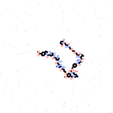 C=C1CC2[C@@H](O)N(C(=O)OCc3ccc(NC(=O)[C@H](C)NC(=O)[C@@H](NC(=O)CCOCCOCCNC(=O)CCN4C(=O)C=CC4=O)C(C)C)cc3)c3cc(OCCCC(=O)Nc4cn(C)c(C(=O)Nc5cc(C(=O)Nc6cc(C(=O)n7ccc8cc(C(=O)OC)ccc87)n(C)c6)n(C)c5)n4)c(OC)cc3C(=O)N2C1